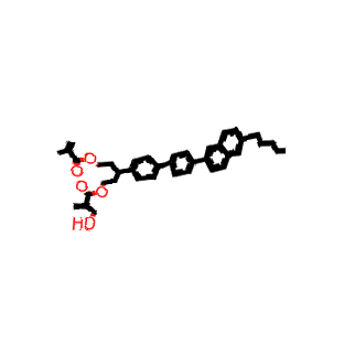 C=C(C)C(=O)OCCC(CCOC(=O)C(=C)CO)c1ccc(-c2ccc(-c3ccc4cc(CCCCC)ccc4c3)cc2)cc1